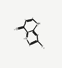 O=c1cc[nH]c2cc(F)cnc12